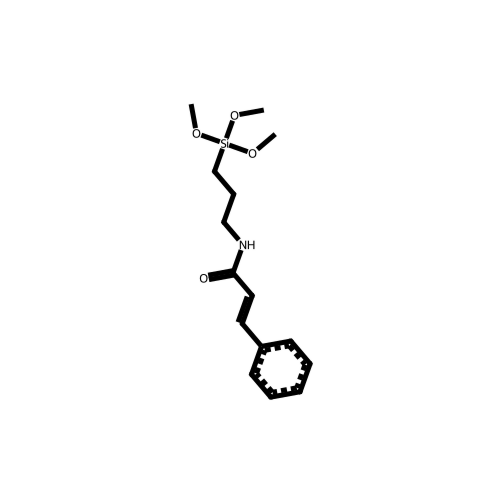 CO[Si](CCCNC(=O)C=Cc1ccccc1)(OC)OC